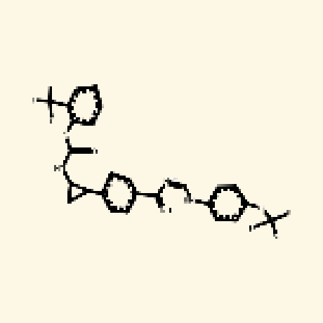 N=C(/N=C\Nc1ccc(OC(F)(F)F)cc1)c1ccc(C2CC2NC(=O)Oc2ccccc2C(F)(F)F)cc1